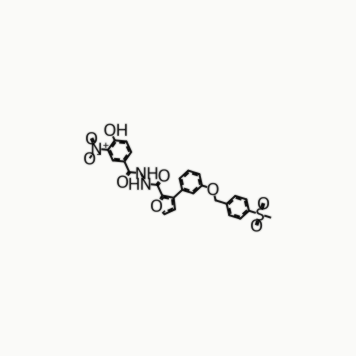 CS(=O)(=O)c1ccc(COc2cccc(-c3ccoc3C(=O)NNC(=O)c3ccc(O)c([N+](=O)[O-])c3)c2)cc1